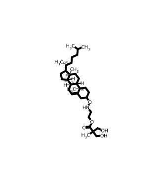 CC(C)CCC[C@@H](C)C1CC[C@H]2[C@@H]3CC=C4CC(ONCCOC(=O)C(C)(CO)CO)CC[C@]4(C)[C@H]3CC[C@]12C